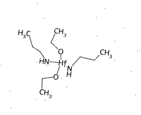 CCC[NH][Hf]([NH]CCC)([O]CC)[O]CC